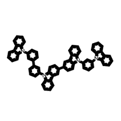 c1cc(-c2cccc(-n3c4ccccc4c4cc(-c5ccc6c(c5)c5ccccc5n6-c5cccc(-n6c7ccccc7c7ccccc76)c5)ccc43)c2)cc(-n2c3ccccc3c3ccccc32)c1